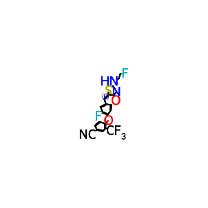 N#Cc1ccc(Oc2ccc(/C=C3/SC(NCCF)=NC3=O)cc2F)c(C(F)(F)F)c1